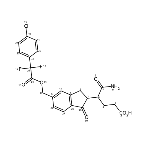 NC(=O)C(CCC(=O)O)C1Cc2cc(COC(=O)C(F)(F)c3ccc(Cl)cc3)ccc2C1=O